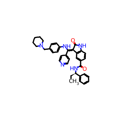 CC[C@@H](NC(=O)c1ccc2c(c1)/C(=C(/Nc1ccc(CN3CCCCC3)cc1)c1ccncc1)C(=O)N2)c1ccccc1